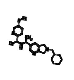 C=C(NC(CC)c1ccc(SCC)cn1)c1cnc2c(c1)CN(CC1CCCCC1)C2